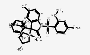 CNC(=O)[C@@H]1C[C@@H](O)C[N+]1(C)C1(c2ccccc2F)C(=O)N(S(=O)(=O)c2ccc(OC)cc2OC(F)(F)F)c2ccc(Cl)cc21